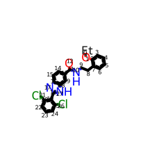 CCOc1ccccc1CCNC(=O)c1ccc2nc(-c3c(Cl)cccc3Cl)[nH]c2c1